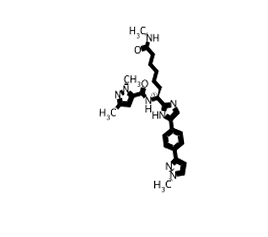 CNC(=O)CCCCC[C@H](NC(=O)c1cc(C)nn1C)c1ncc(-c2ccc(-c3ccn(C)n3)cc2)[nH]1